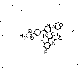 Cc1c(C2CC2)nc2cc(F)cc(F)c2c1Nc1cc(N2CCOCC2)ncc1-c1ccc(S(C)(=O)=O)cc1